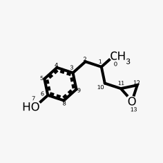 CC(Cc1ccc(O)cc1)CC1CO1